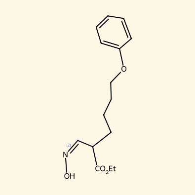 CCOC(=O)C(/C=N\O)CCCCOc1ccccc1